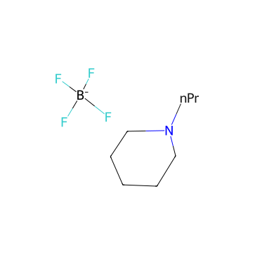 CCCN1CCCCC1.F[B-](F)(F)F